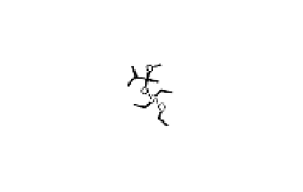 CCO[Si](CC)(CC)OC(C)(OC)C(C)C